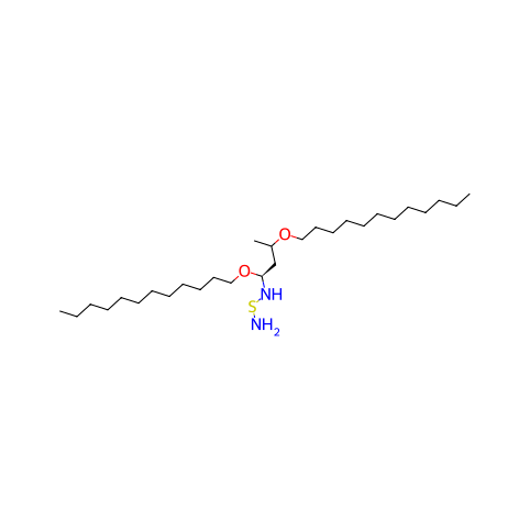 CCCCCCCCCCCCOC(C)C[C@@H](NSN)OCCCCCCCCCCCC